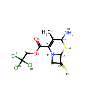 CC1=C(C(=O)OCC(Cl)(Cl)Cl)N2CC(=S)C2SC1N